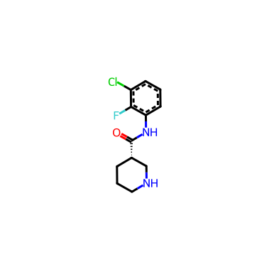 O=C(Nc1cccc(Cl)c1F)[C@H]1CCCNC1